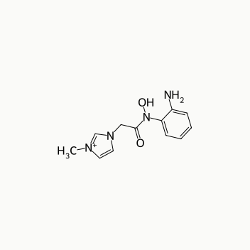 C[n+]1ccn(CC(=O)N(O)c2ccccc2N)c1